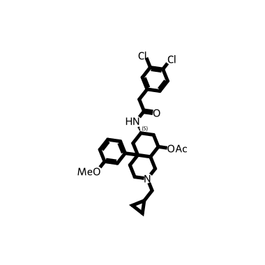 COc1cccc(C23CCN(CC4CC4)CC2C(OC(C)=O)C[C@@H](NC(=O)Cc2ccc(Cl)c(Cl)c2)C3)c1